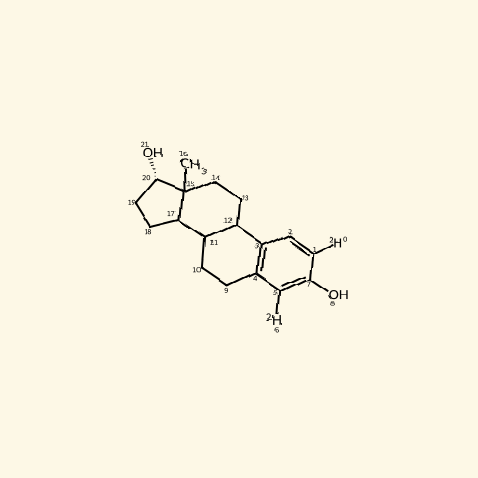 [2H]c1cc2c(c([2H])c1O)CCC1C2CCC2(C)C1CC[C@@H]2O